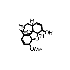 COC1C=CC2=C3C1O[C@H]1C(O)C=C[C@H]4CN(C)C(C2)C[C@@]341